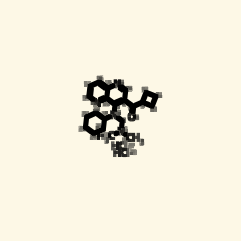 CN(C)CN(c1c(C(=O)C2CCC2)cnc2cccnc12)C1CCCCC1.Cl.Cl